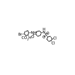 O=C(Nc1ccc(Br)cc1C(=O)O)c1ccc(NS(=O)(=O)c2ccc(Cl)c(Cl)c2)cc1